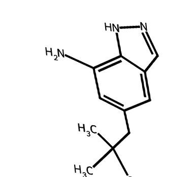 CC(C)(C)Cc1cc(N)c2[nH]ncc2c1